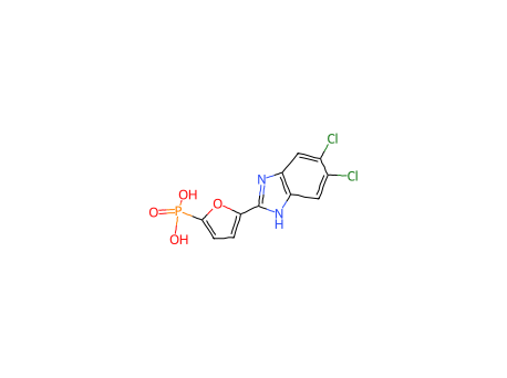 O=P(O)(O)c1ccc(-c2nc3cc(Cl)c(Cl)cc3[nH]2)o1